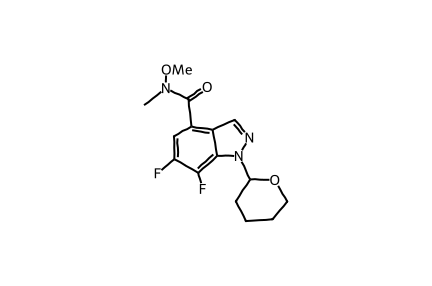 CON(C)C(=O)c1cc(F)c(F)c2c1cnn2C1CCCCO1